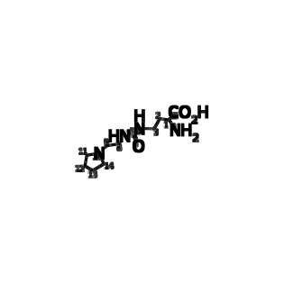 NC(CCNC(=O)NCCN1CCCC1)C(=O)O